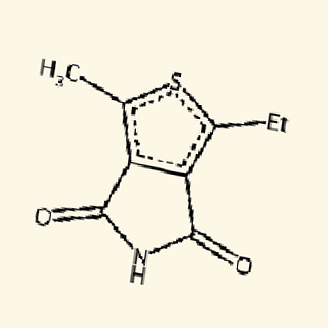 CCc1sc(C)c2c1C(=O)NC2=O